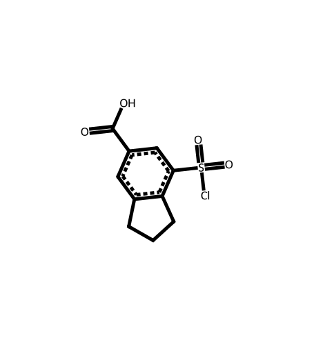 O=C(O)c1cc2c(c(S(=O)(=O)Cl)c1)CCC2